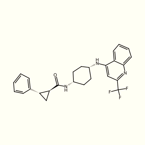 O=C(N[C@H]1CC[C@@H](Nc2cc(C(F)(F)F)nc3ccccc23)CC1)[C@H]1C[C@@H]1c1ccccc1